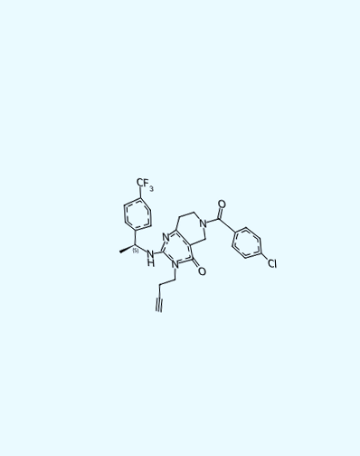 C#CCCn1c(N[C@@H](C)c2ccc(C(F)(F)F)cc2)nc2c(c1=O)CN(C(=O)c1ccc(Cl)cc1)CC2